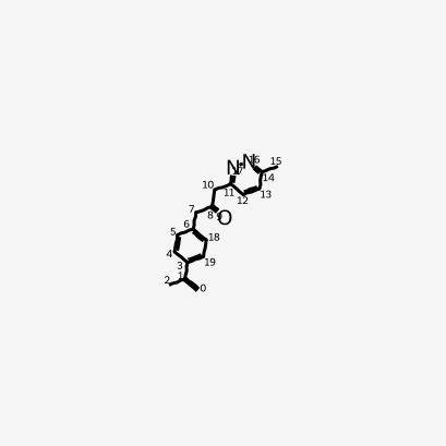 C=C(C)c1ccc(CC(=O)Cc2ccc(C)nn2)cc1